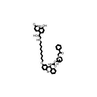 O=C(NC(c1ccccc1)c1cc(OCCCCCCCCCNC[C@H](O)c2ccc(O)c3[nH]c(=O)ccc23)ccc1Br)O[C@H]1C[N+]2(CC(=O)c3ccccc3)CCC1CC2